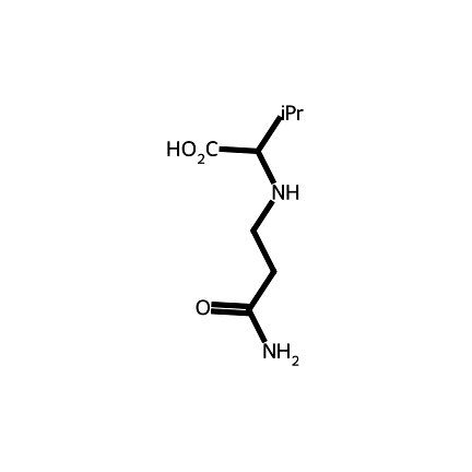 CC(C)C(NCCC(N)=O)C(=O)O